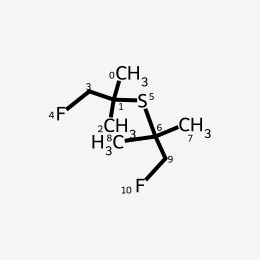 CC(C)(CF)SC(C)(C)CF